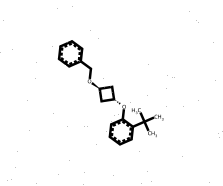 CC(C)(C)c1ccccc1O[C@H]1C[C@H](OCc2ccccc2)C1